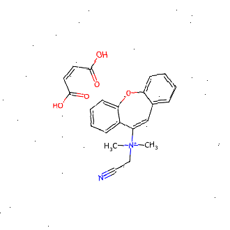 C[N+](C)(CC#N)C1=Cc2ccccc2Oc2ccccc21.O=C(O)/C=C\C(=O)O